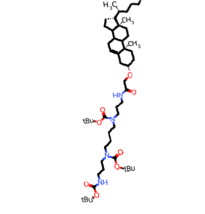 CC(C)CCC[C@@H](C)[C@H]1CCC2C3CC=C4C[C@@H](OCC(=O)NCCCN(CCCCN(CCCNC(=O)OC(C)(C)C)C(=O)OC(C)(C)C)C(=O)OC(C)(C)C)CC[C@]4(C)C3CC[C@@]21C